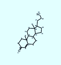 CC12CCC(=O)C=C1CCC1C2CCC2(C)C(CCC#N)CCC12